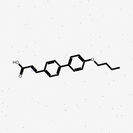 CCCCOc1ccc(-c2ccc(/C=C/C(=O)O)cc2)cc1